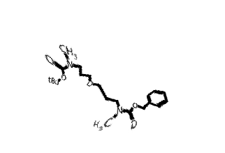 CN(CCCOCCCN(C)C(=O)OC(C)(C)C)C(=O)OCc1ccccc1